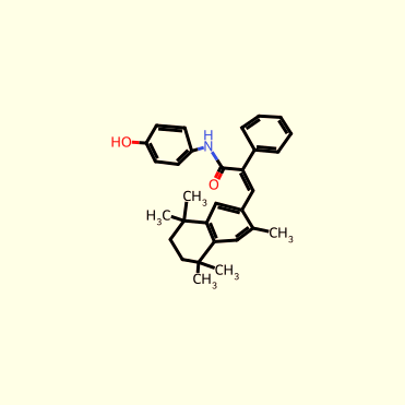 Cc1cc2c(cc1C=C(C(=O)Nc1ccc(O)cc1)c1ccccc1)C(C)(C)CCC2(C)C